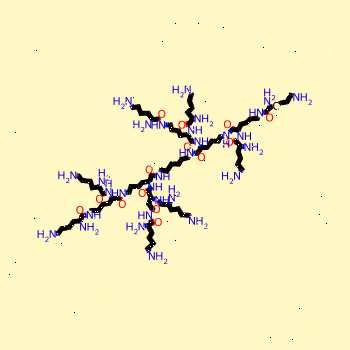 NCCCCC(N)C(=O)NCCCCC(NC(=O)C(N)CCCCN)C(=O)NCCCCC(NC(=O)C(CCCCNC(=O)C(N)CCCCN)NC(=O)C(N)CCCCN)C(=O)NCCCCCCNC(=O)C(CCCCNC(=O)C(CCCCNC(=O)C(N)CCCCN)NC(=O)C(N)CCCCN)NC(=O)C(CCNC(=O)C(N)CCCCN)NC(=O)C(N)CCCCN